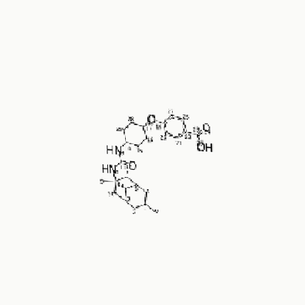 CC1CC2CC(C1)CC(C)(NC(=O)NC1CCC(Oc3ccc(C(=O)O)cc3)CC1)C2